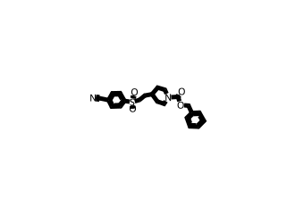 N#Cc1ccc(S(=O)(=O)CCC2CCN(C(=O)OCc3ccccc3)CC2)cc1